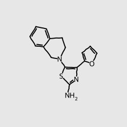 Nc1nc(-c2ccco2)c(N2CCc3ccccc3C2)s1